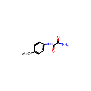 COc1ccc(NC(=O)C(N)=O)cc1